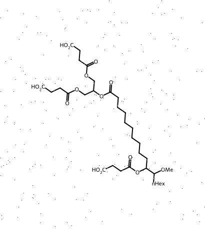 CCCCCCC(OC)C(CCCCCCCCCC(=O)OC(COC(=O)CCC(=O)O)COC(=O)CCC(=O)O)OC(=O)CCC(=O)O